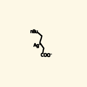 CCCCCCCC(=O)[O-].[Ag+]